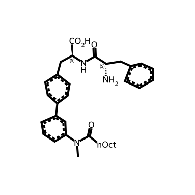 CCCCCCCCC(=O)N(C)c1cccc(-c2ccc(C[C@H](NC(=O)[C@@H](N)Cc3ccccc3)C(=O)O)cc2)c1